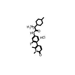 Cc1c(-c2ccc(NC(=O)[C@@H](N)C3CCC(C)CC3)cc2F)ccc(=O)n1C.Cl